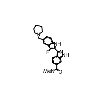 CNC(=O)c1ccc2c(-c3[nH]c4ccc(CN5CCCCC5)cc4c3F)n[nH]c2c1